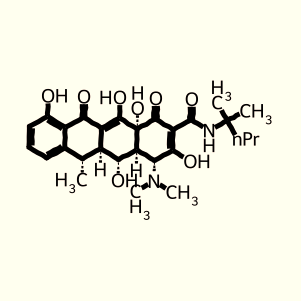 CCCC(C)(C)NC(=O)C1=C(O)[C@H](N(C)C)[C@H]2[C@H](O)[C@@H]3C(=C(O)[C@@]2(O)C1=O)C(=O)c1c(O)cccc1[C@H]3C